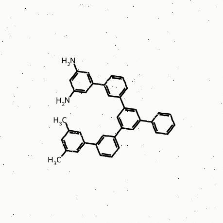 Cc1cc(C)cc(-c2cccc(-c3cc(-c4ccccc4)cc(-c4cccc(-c5cc(N)cc(N)c5)c4)c3)c2)c1